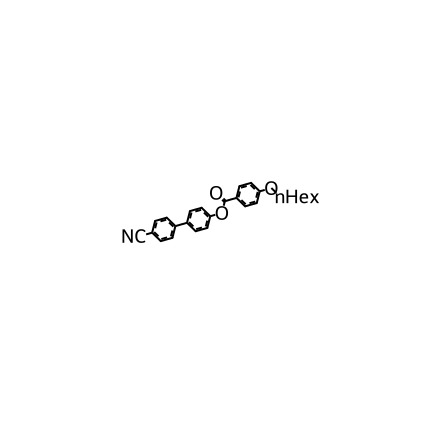 CCCCCCOc1ccc(C(=O)Oc2ccc(-c3ccc(C#N)cc3)cc2)cc1